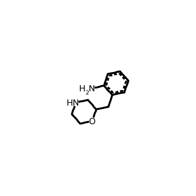 Nc1ccccc1CC1CNCCO1